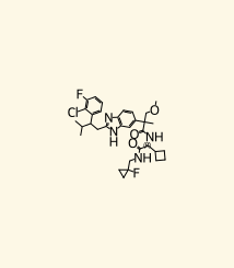 COCC(C)(C(=O)N[C@@H](C(=O)NCC1(F)CC1)C1CCC1)c1ccc2nc(CC(c3cccc(F)c3Cl)C(C)C)[nH]c2c1